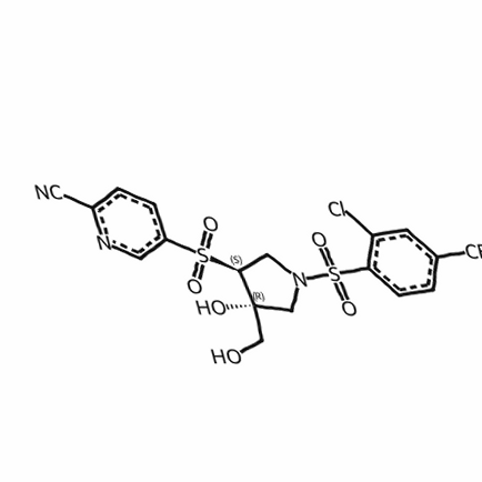 N#Cc1ccc(S(=O)(=O)[C@H]2CN(S(=O)(=O)c3ccc(C(F)(F)F)cc3Cl)C[C@@]2(O)CO)cn1